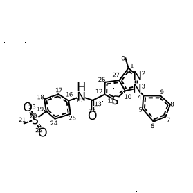 Cc1nn(-c2ccccc2)c2sc(C(=O)Nc3ccc(S(C)(=O)=O)cc3)cc12